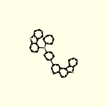 c1ccc(N(c2ccc(-c3ccc4ccc5sc6ccccc6c5c4c3)cc2)c2cccc3sc4ccccc4c23)cc1